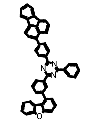 c1ccc(-c2nc(-c3ccc(-c4ccc5c6c(cccc46)-c4ccccc4-5)cc3)nc(-c3cccc(-c4cccc5oc6ccccc6c45)c3)n2)cc1